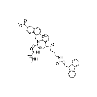 CN[C@@H](C)C(=O)N[C@H]1CN(C(=O)CCCNC(=O)OCC2c3ccccc3-c3ccccc32)c2ccccc2N(Cc2c(OC)ccc3cc(C(=O)OC)ccc23)C1=O